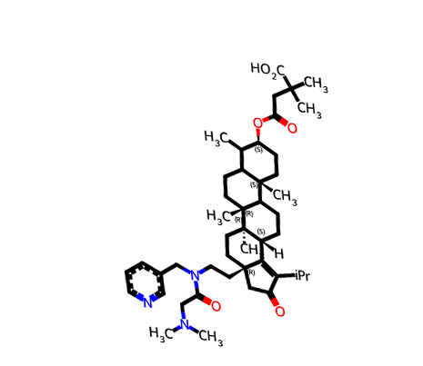 CC(C)C1=C2[C@H]3CCC4[C@@]5(C)CC[C@H](OC(=O)CC(C)(C)C(=O)O)C(C)C5CC[C@@]4(C)[C@]3(C)CC[C@@]2(CCN(Cc2cccnc2)C(=O)CN(C)C)CC1=O